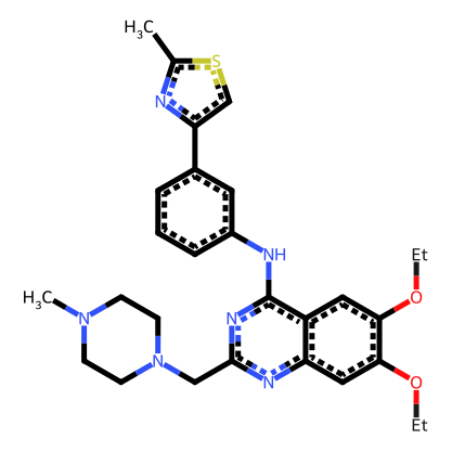 CCOc1cc2nc(CN3CCN(C)CC3)nc(Nc3cccc(-c4csc(C)n4)c3)c2cc1OCC